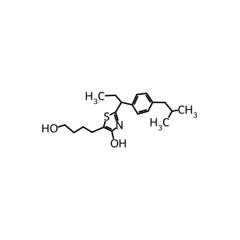 CCC(c1ccc(CC(C)C)cc1)c1nc(O)c(CCCCO)s1